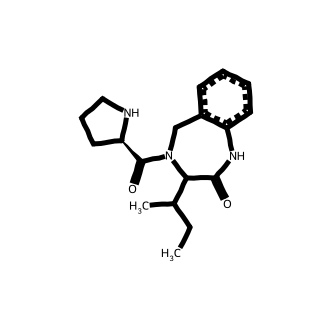 CCC(C)C1C(=O)Nc2ccccc2CN1C(=O)[C@H]1CCCN1